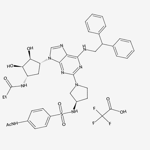 CCC(=O)N[C@H]1C[C@@H](n2cnc3c(NCC(c4ccccc4)c4ccccc4)nc(N4CC[C@@H](NS(=O)(=O)c5ccc(NC(C)=O)cc5)C4)nc32)[C@H](O)[C@@H]1O.O=C(O)C(F)(F)F